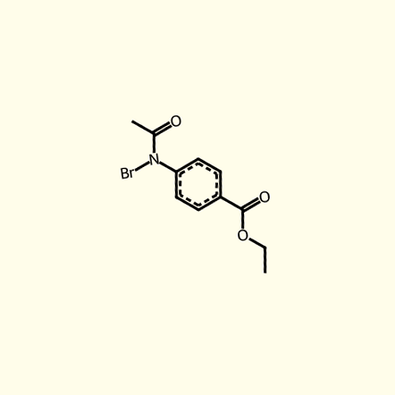 CCOC(=O)c1ccc(N(Br)C(C)=O)cc1